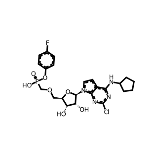 O=P(O)(COC[C@H]1O[C@@H](n2ccc3c(NC4CCCC4)nc(Cl)nc32)[C@H](O)[C@@H]1O)Oc1ccc(F)cc1